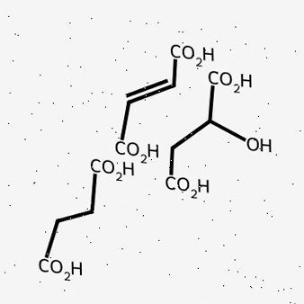 O=C(O)/C=C/C(=O)O.O=C(O)CC(O)C(=O)O.O=C(O)CCC(=O)O